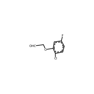 O=CCOc1cc(F)ccc1Cl